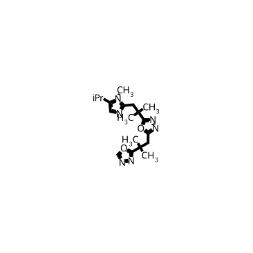 CC(C)c1cnc(CC(C)(C)c2nnc(CC(C)(C)c3nnco3)o2)n1C